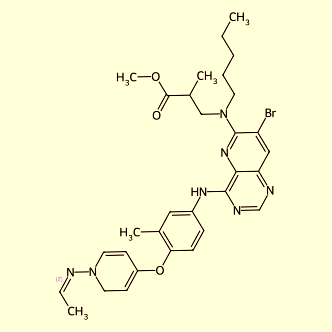 C/C=N\N1C=CC(Oc2ccc(Nc3ncnc4cc(Br)c(N(CCCCC)CC(C)C(=O)OC)nc34)cc2C)=CC1